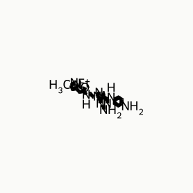 CCn1nc(C)cc1CC(=O)NCCn1ncc2c(Nc3ccc(N)cc3)nc(N)nc21